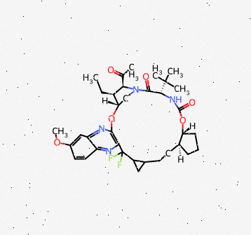 CC[C@@H]1[C@@H]2CN(C(=O)[C@H](C(C)(C)C)NC(=O)O[C@@H]3CCC[C@H]3CCC3CC3C(F)(F)c3nc4ccc(OC)cc4nc3O2)[C@@H]1C(C)=O